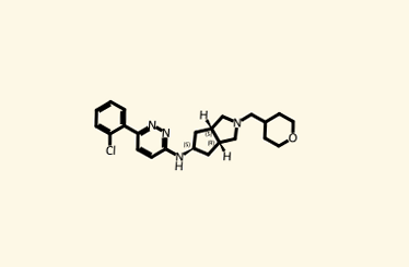 Clc1ccccc1-c1ccc(N[C@H]2C[C@@H]3CN(CC4CCOCC4)C[C@@H]3C2)nn1